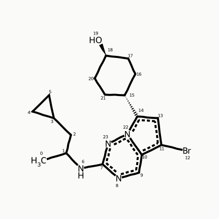 CC(CC1CC1)Nc1ncc2c(Br)cc([C@H]3CC[C@H](O)CC3)n2n1